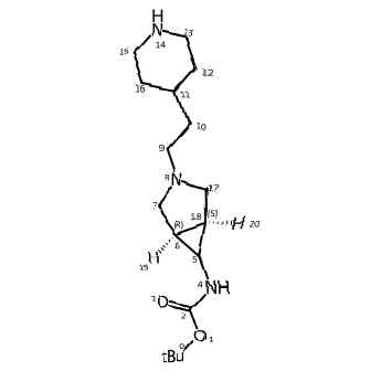 CC(C)(C)OC(=O)NC1[C@H]2CN(CCC3CCNCC3)C[C@@H]12